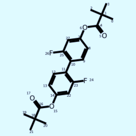 CC(C)(C)C(=O)Oc1ccc(-c2ccc(OC(=O)C(C)(C)C)cc2F)c(F)c1